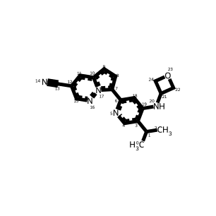 CC(C)c1cnc(-c2ccc3cc(C#N)cnn23)cc1NC1COC1